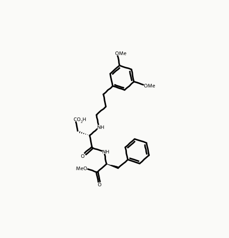 COC(=O)[C@H](Cc1ccccc1)NC(=O)[C@H](CC(=O)O)NCCCc1cc(OC)cc(OC)c1